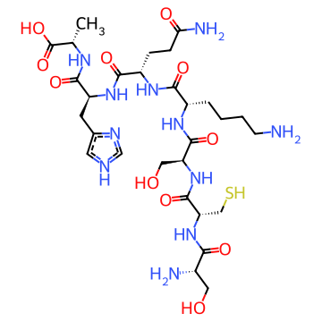 C[C@H](NC(=O)[C@H](Cc1c[nH]cn1)NC(=O)[C@H](CCC(N)=O)NC(=O)[C@H](CCCCN)NC(=O)[C@H](CO)NC(=O)[C@H](CS)NC(=O)[C@@H](N)CO)C(=O)O